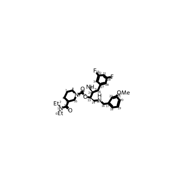 CCN(CC)C(=O)C1CCCN(C(=O)O[C@H](CNCc2cccc(OC)c2)[C@@H](N)Cc2cc(F)cc(F)c2)C1